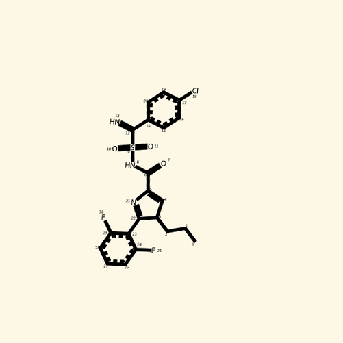 CCCC1C=C(C(=O)NS(=O)(=O)C(=N)c2ccc(Cl)cc2)N=C1c1c(F)cccc1F